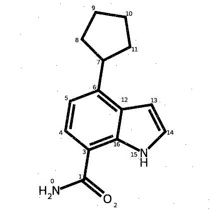 NC(=O)c1ccc(C2CCCC2)c2cc[nH]c12